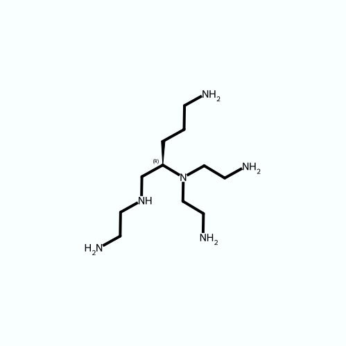 NCCC[C@H](CNCCN)N(CCN)CCN